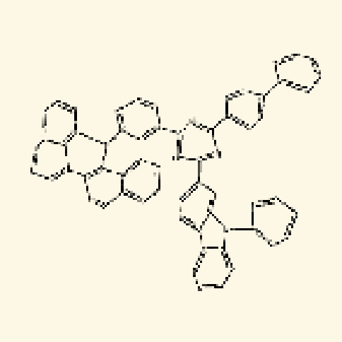 c1ccc(-c2ccc(-c3nc(-c4cccc(N5c6c(ccc7ccccc67)-c6cccc7cccc5c67)c4)nc(-c4ccc5c6ccccc6n(-c6ccccc6)c5c4)n3)cc2)cc1